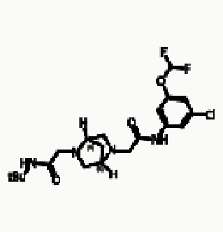 CC(C)(C)NC(=O)CN1C[C@@H]2C[C@H]1CN2CC(=O)Nc1cc(Cl)cc(OC(F)F)c1